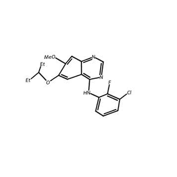 CCC(CC)Oc1cc2c(Nc3cccc(Cl)c3F)ncnc2cc1OC